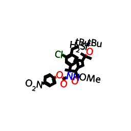 COC(=O)C(C1CC(C(C)(C)O[SiH2]C(C)(C)C)C1)C(C)(NC(=O)Oc1ccc([N+](=O)[O-])cc1)c1ccc(CCC(C)(C)C)c(Cl)c1